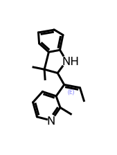 C/C=C(\c1cccnc1C)C1Nc2ccccc2C1(C)C